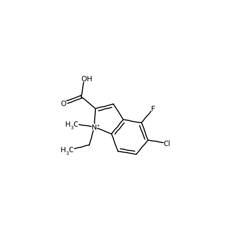 CC[N+]1(C)C(C(=O)O)=Cc2c1ccc(Cl)c2F